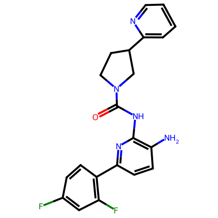 Nc1ccc(-c2ccc(F)cc2F)nc1NC(=O)N1CCC(c2ccccn2)C1